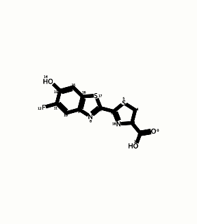 O=C(O)C1CSC(c2nc3cc(F)c(O)cc3s2)=N1